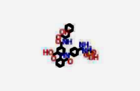 CS(=O)(=O)O.N=C(N)c1ccc(NC(=O)c2ccccc2-c2ccc(C(=O)NC(Cc3ccccc3)C(=O)O)cc2C(=O)O)cc1